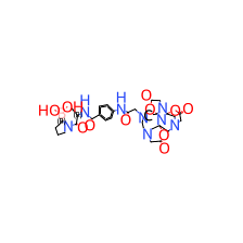 C[C@@H](NC(=O)c1ccc(NC(=O)CN2CCN3CC(=O)OC4(C3)CN3CC(=O)OC5(C3)N3CC(=O)OC3(C2)N45)cc1)C(=O)N1CCC[C@H]1B(O)O